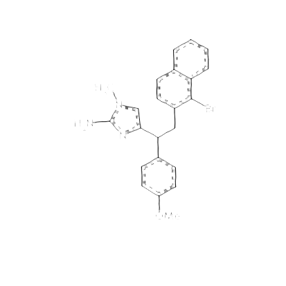 COc1ccc(C(Cc2ccc3ccccc3c2Br)c2cn(C)c(N)n2)cc1